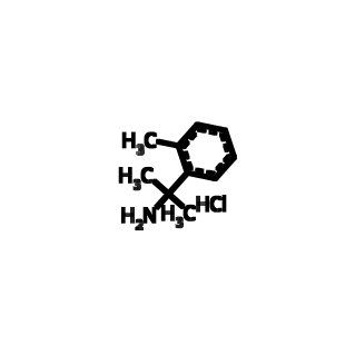 Cc1ccccc1C(C)(C)N.Cl